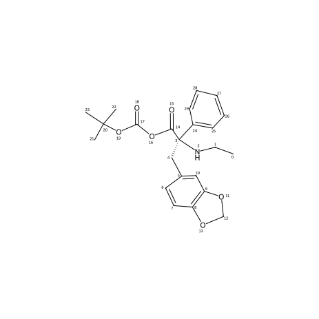 CCN[C@@](Cc1ccc2c(c1)OCO2)(C(=O)OC(=O)OC(C)(C)C)c1ccccc1